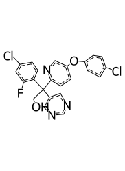 OCC(c1cncnc1)(c1ccc(Oc2ccc(Cl)cc2)cn1)c1ccc(Cl)cc1F